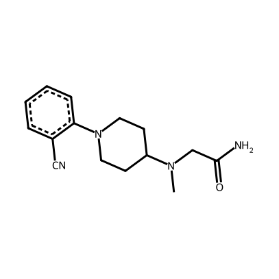 CN(CC(N)=O)C1CCN(c2ccccc2C#N)CC1